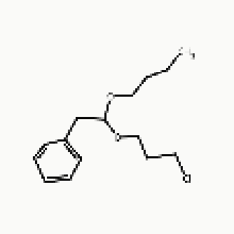 CCCCOC(Cc1ccccc1)OCCCC